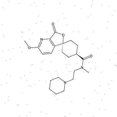 COc1ccc2c(n1)C(=O)O[C@]21CC[C@H](C(=O)N(C)CCN2CCCCC2)CC1